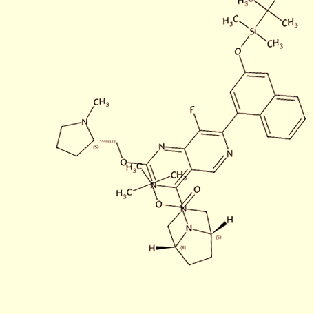 CN1CCC[C@H]1COc1nc(N2C[C@H]3CC[C@@H](C2)N3C(=O)OC(C)(C)C)c2cnc(-c3cc(O[Si](C)(C)C(C)(C)C)cc4ccccc34)c(F)c2n1